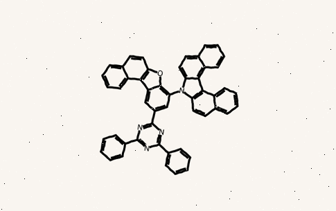 c1ccc(-c2nc(-c3ccccc3)nc(-c3cc(-n4c5ccc6ccccc6c5c5c6ccccc6ccc54)c4oc5ccc6ccccc6c5c4c3)n2)cc1